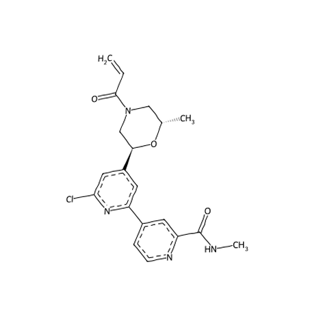 C=CC(=O)N1C[C@H](C)O[C@@H](c2cc(Cl)nc(-c3ccnc(C(=O)NC)c3)c2)C1